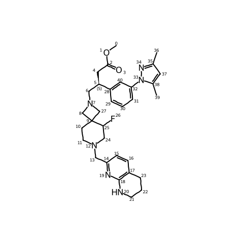 COC(=O)C[C@H](CN1CC2(CCN(Cc3ccc4c(n3)NCCC4)CC2F)C1)c1cccc(-n2nc(C)cc2C)c1